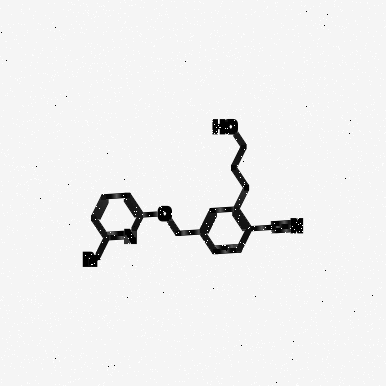 N#Cc1ccc(COc2cccc(Br)n2)cc1CCCO